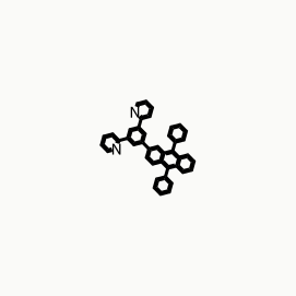 c1ccc(-c2c3ccccc3c(-c3ccccc3)c3cc(-c4cc(-c5ccccn5)cc(-c5ccccn5)c4)ccc23)cc1